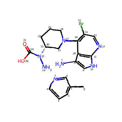 Cc1cccnc1.Nc1c[nH]c2ncc(Br)c(N3CCC[C@@H](N(N)C(=O)O)C3)c12